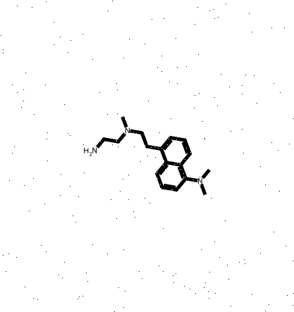 CN(CCN)CCc1cccc2c(N(C)C)cccc12